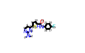 CN(C)c1nccc(-c2ccc(C(=O)Nc3ccc(F)cc3)s2)n1